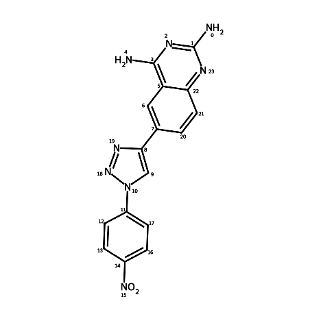 Nc1nc(N)c2cc(-c3cn(-c4ccc([N+](=O)[O-])cc4)nn3)ccc2n1